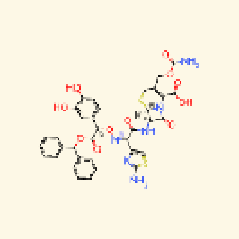 NC(=O)OCC1=C(C(=O)O)N2C(=O)[C@@H](NC(=O)/C(=N\O[C@H](C(=O)OC(c3ccccc3)c3ccccc3)c3ccc(O)c(O)c3)c3csc(N)n3)[C@H]2SC1